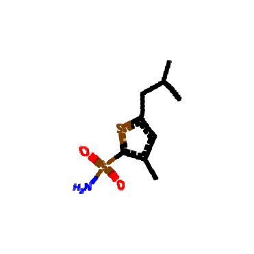 Cc1cc(CC(C)C)sc1S(N)(=O)=O